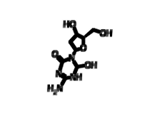 NC1=NC(=O)N([C@H]2CC(O)[C@@H](CO)O2)C(O)N1